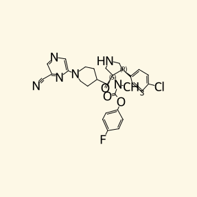 CN(C(=O)Oc1ccc(F)cc1)[C@]1(C(=O)C2CCN(c3cncc(C#N)n3)CC2)CNC[C@H]1c1ccc(Cl)cc1